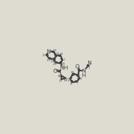 N#CNC(=O)c1cccc([C@@H]2C[C@H]2C(=O)Nc2ccc3cnccc3c2)c1